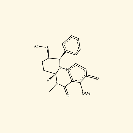 COc1c2n(ccc1=O)N1[C@H](c3ccccc3)[C@H](SC(C)=O)CC[C@H]1N(C)C2=O